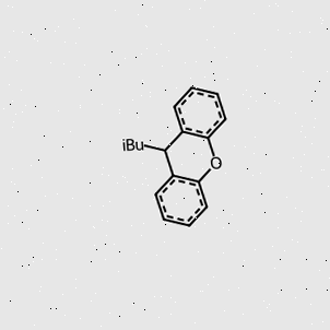 CCC(C)C1c2ccccc2Oc2ccccc21